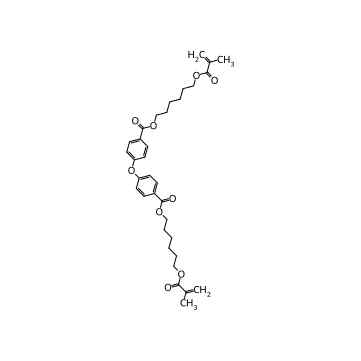 C=C(C)C(=O)OCCCCCCOC(=O)c1ccc(Oc2ccc(C(=O)OCCCCCCOC(=O)C(=C)C)cc2)cc1